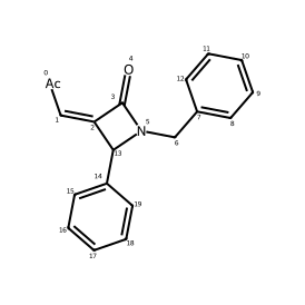 CC(=O)C=C1C(=O)N(Cc2ccccc2)C1c1ccccc1